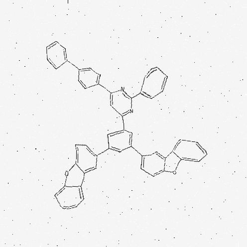 c1ccc(-c2ccc(-c3cc(-c4cc(-c5ccc6oc7ccccc7c6c5)cc(-c5ccc6oc7ccccc7c6c5)c4)nc(-c4ccccc4)n3)cc2)cc1